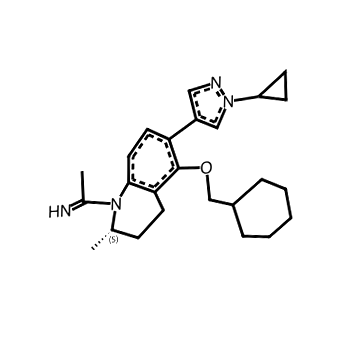 CC(=N)N1c2ccc(-c3cnn(C4CC4)c3)c(OCC3CCCCC3)c2CC[C@@H]1C